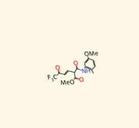 COC(=O)C(/C=C/C(=O)C(F)(F)F)C(=O)Nc1cc(OC)ccc1C